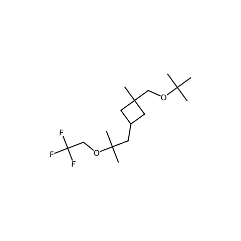 CC1(COC(C)(C)C)CC(CC(C)(C)OCC(F)(F)F)C1